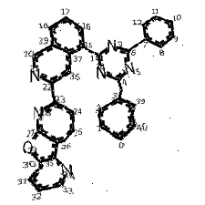 c1ccc(-c2nc(-c3ccccc3)nc(-c3cccc4cnc(-c5ccc6c(n5)oc5cccnc56)cc34)n2)cc1